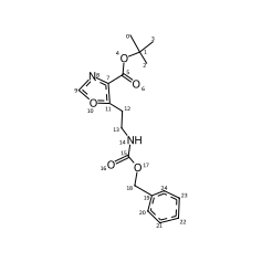 CC(C)(C)OC(=O)c1ncoc1CCNC(=O)OCc1ccccc1